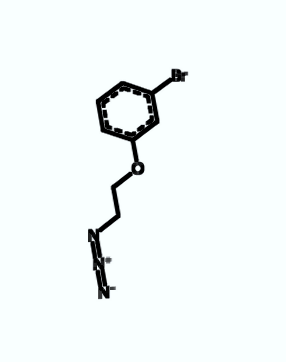 [N-]=[N+]=NCCOc1cccc(Br)c1